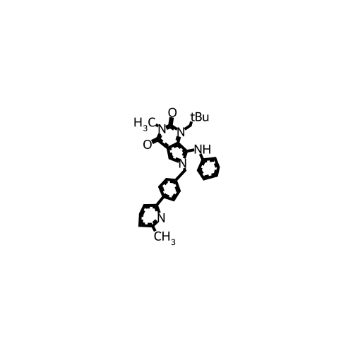 Cc1cccc(-c2ccc(Cn3cc4c(=O)n(C)c(=O)n(CC(C)(C)C)c4c3Nc3ccccc3)cc2)n1